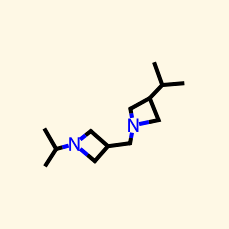 CC(C)C1CN(CC2CN(C(C)C)C2)C1